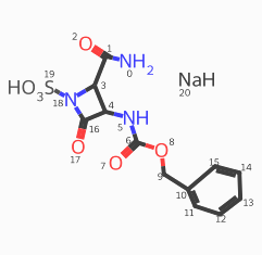 NC(=O)C1C(NC(=O)OCc2ccccc2)C(=O)N1S(=O)(=O)O.[NaH]